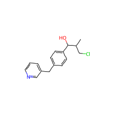 CC(CCl)C(O)c1ccc(Cc2cccnc2)cc1